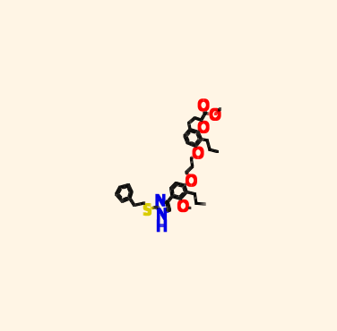 CCCc1c(OCCCOc2ccc(-c3c[nH]c(SCCc4ccccc4)n3)c(OC)c2CCC)ccc2c1OC(C(=O)OC)CC2